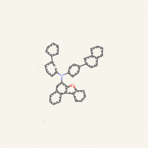 c1ccc(-c2cccc(N(c3ccc(-c4ccc5ccccc5c4)cc3)c3cc4ccccc4c4c3oc3ccccc34)c2)cc1